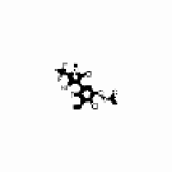 CCc1c(F)c(-c2c(Br)c(C(F)(F)F)n(C)c2Cl)cc(OOC(C)=O)c1Cl